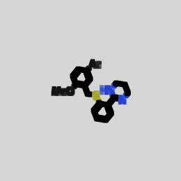 COc1ccc(C(C)=O)cc1CSc1ccccc1C1=NCCCN1